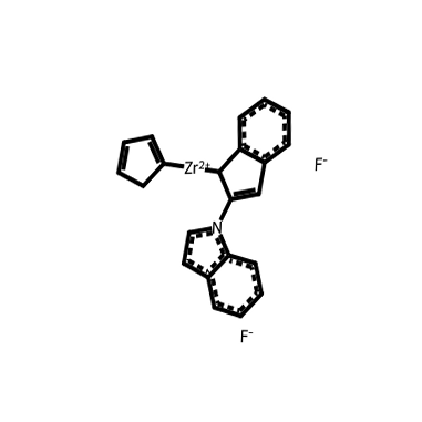 C1=CC[C]([Zr+2][CH]2C(n3ccc4ccccc43)=Cc3ccccc32)=C1.[F-].[F-]